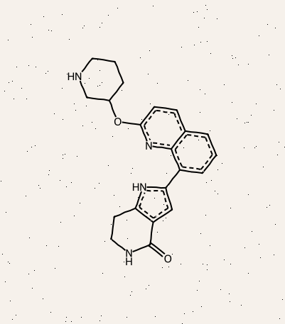 O=C1NCCc2[nH]c(-c3cccc4ccc(OC5CCCNC5)nc34)cc21